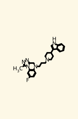 Cc1nnc2n1-c1cc(F)ccc1N(CCCN1CCC(c3c[nH]c4ccccc34)CC1)C2